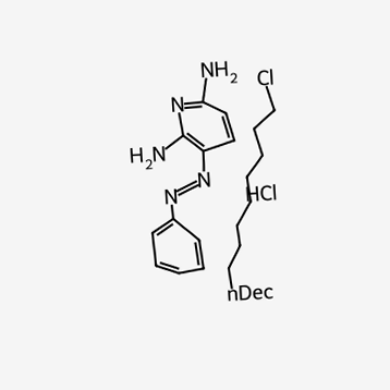 CCCCCCCCCCCCCCCCCCCl.Cl.Nc1ccc(/N=N/c2ccccc2)c(N)n1